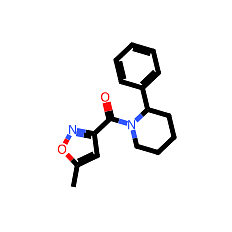 Cc1cc(C(=O)N2CCCCC2c2ccccc2)no1